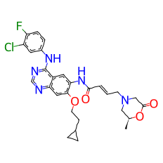 C[C@H]1CN(CC=CC(=O)Nc2cc3c(Nc4ccc(F)c(Cl)c4)ncnc3cc2OCCC2CC2)CC(=O)O1